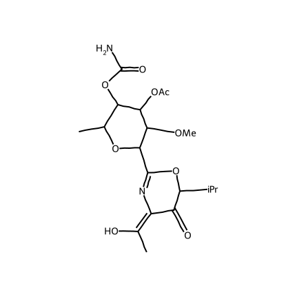 COC1C(C2=N/C(=C(/C)O)C(=O)C(C(C)C)O2)OC(C)C(OC(N)=O)C1OC(C)=O